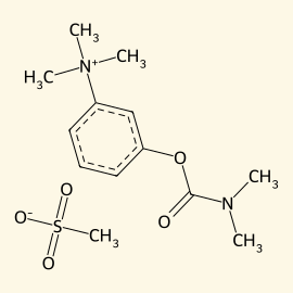 CN(C)C(=O)Oc1cccc([N+](C)(C)C)c1.CS(=O)(=O)[O-]